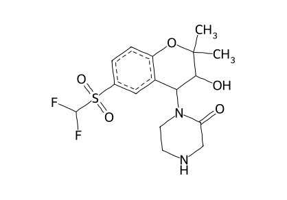 CC1(C)Oc2ccc(S(=O)(=O)C(F)F)cc2C(N2CCNCC2=O)C1O